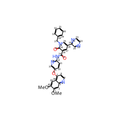 COc1cc2nccc(Oc3ccc(NC(=O)c4cc(-c5cnccn5)cn(Cc5ccccc5)c4=O)nc3)c2cc1OC